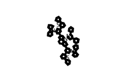 c1ccc(-c2cc(-c3ccccc3)nc(-n3c4cc(-c5cc(-c6cccc7c6sc6ccccc67)cc(-n6c7ccccc7c7ccccc76)c5)cc5c4c4c(cc(-c6cc(-c7cccc8c7sc7ccccc78)cc(-n7c8ccccc8c8ccccc87)c6)cc43)CC5)c2)cc1